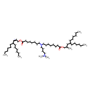 CCCCCCC(/C=C\COC(=O)CCCCCCCN(CCCCCCCC(=O)OCC(C)CC(CCCCCC)CCCCCC)CCCCN(C)C)CCCCCC